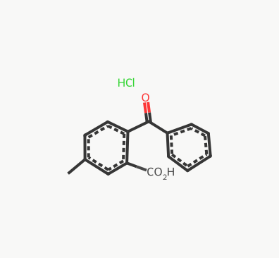 Cc1ccc(C(=O)c2ccccc2)c(C(=O)O)c1.Cl